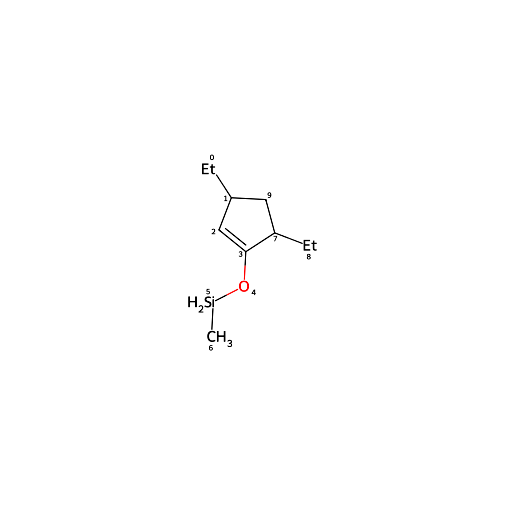 CCC1C=C(O[SiH2]C)C(CC)C1